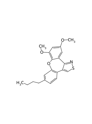 CCCCc1ccc2c(c1)Oc1c(OC)cc(OC)cc1-c1nscc1-2